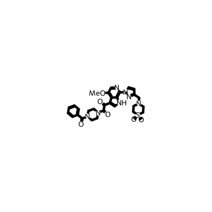 COc1cnc(-n2ccc(CN3CCS(=O)(=O)CC3)n2)c2[nH]cc(C(=O)C(=O)N3CCN(C(=O)c4ccccc4)CC3)c12